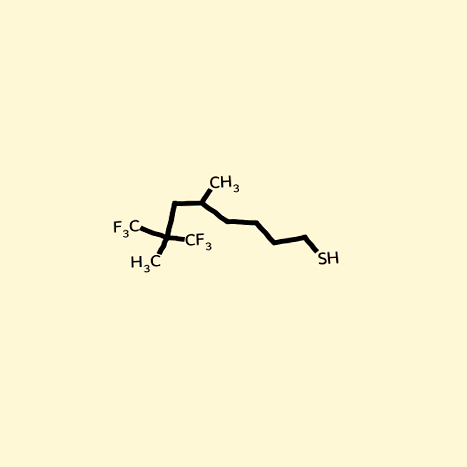 CC(CCCCS)CC(C)(C(F)(F)F)C(F)(F)F